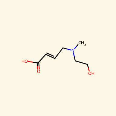 CN(C/C=C/C(=O)O)CCO